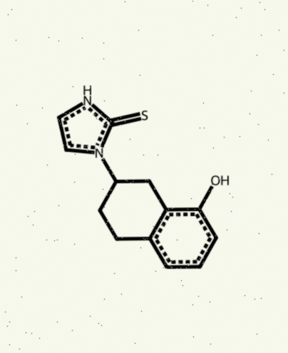 Oc1cccc2c1CC(n1cc[nH]c1=S)CC2